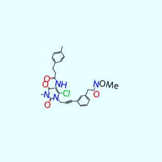 CON(C)C(=O)Cc1cccc(C#CCn2c(Cl)c(NC(=O)CCc3ccc(C)cc3)c(=O)n(C)c2=O)c1